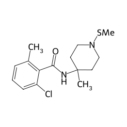 CSN1CCC(C)(NC(=O)c2c(C)cccc2Cl)CC1